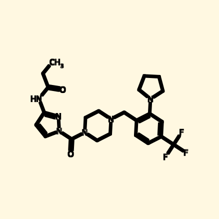 CCC(=O)Nc1ccn(C(=O)N2CCN(Cc3ccc(C(F)(F)F)cc3N3CCCC3)CC2)n1